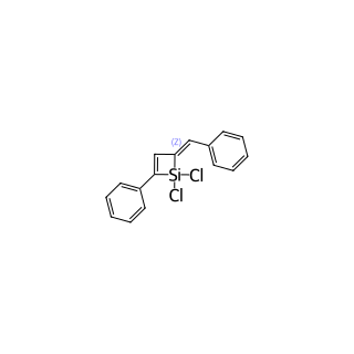 Cl[Si]1(Cl)C(c2ccccc2)=C/C1=C/c1ccccc1